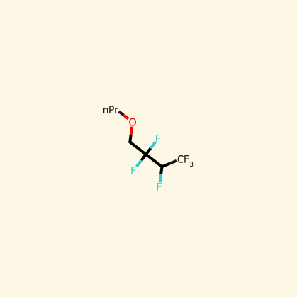 CCCOCC(F)(F)C(F)C(F)(F)F